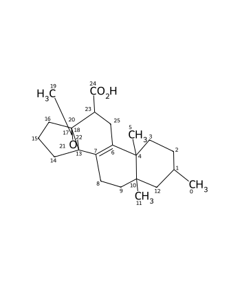 CC1CCC2(C)C3=C(CCC2(C)C1)C12CCCC1(C(C)COC2)C(C(=O)O)C3